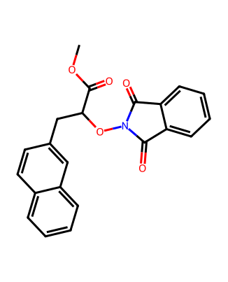 COC(=O)C(Cc1ccc2ccccc2c1)ON1C(=O)c2ccccc2C1=O